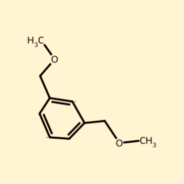 COCc1[c]c(COC)c[c]c1